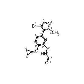 Cn1ncc(Br)c1-c1ccc(OC2CC2)c(CNC=O)n1